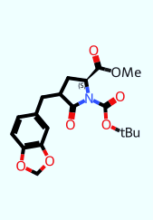 COC(=O)[C@@H]1CC(Cc2ccc3c(c2)OCO3)C(=O)N1C(=O)OC(C)(C)C